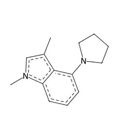 Cc1cn(C)c2cccc(N3CCCC3)c12